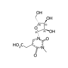 Cn1c(=O)c(CC(=O)O)cn([C@@H]2O[C@H](CO)[C@@H](O)[C@H]2O)c1=O